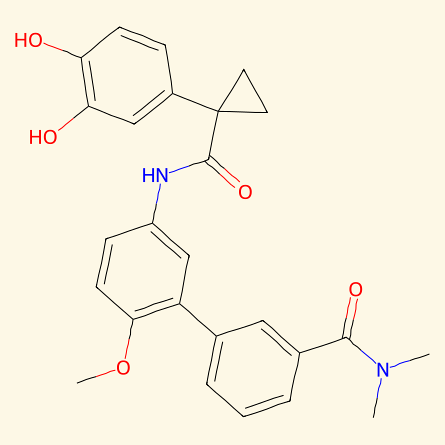 COc1ccc(NC(=O)C2(c3ccc(O)c(O)c3)CC2)cc1-c1cccc(C(=O)N(C)C)c1